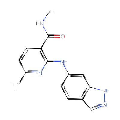 Cc1ccc(C(=O)NC(C)C)c(Nc2ccc3cn[nH]c3c2)n1